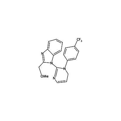 COCc1nc2ccccc2n1C1=NC=CCN1c1ccc(C(F)(F)F)cc1